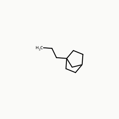 CCCC12CCC(CC1)C2